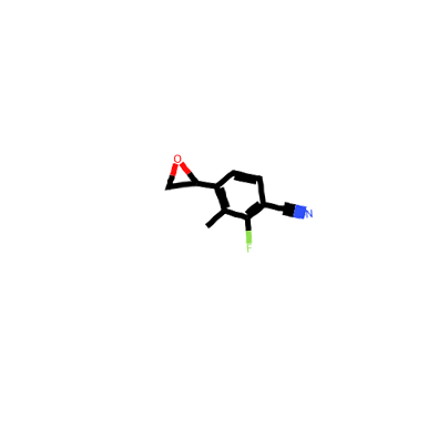 Cc1c(C2CO2)ccc(C#N)c1F